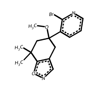 COC1(c2cccnc2Br)Cc2cnoc2C(C)(C)C1